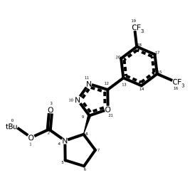 CC(C)(C)OC(=O)N1CCC[C@@H]1c1nnc(-c2cc(C(F)(F)F)cc(C(F)(F)F)c2)o1